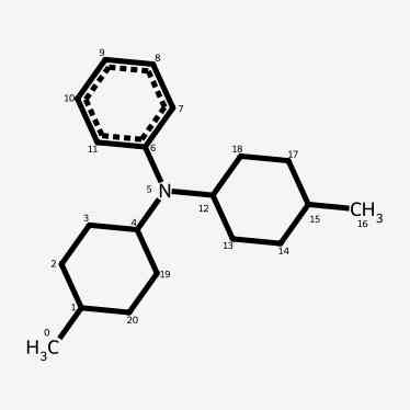 CC1CCC(N(c2ccccc2)C2CCC(C)CC2)CC1